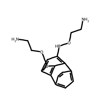 NCCOBc1cc2c3c(c1-c1ccc-3cc1)B2OCCN